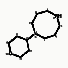 C1CNCCCN(C2CCOCC2)C1